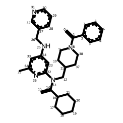 C=C(c1ccccc1)N1CCC(CN(C(=C)C2CCCCC2)c2cc(NCc3cccnc3)cc(C)n2)CC1